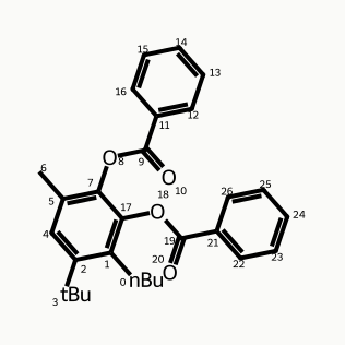 CCCCc1c(C(C)(C)C)cc(C)c(OC(=O)c2ccccc2)c1OC(=O)c1ccccc1